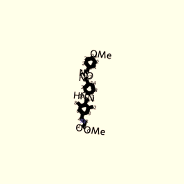 COC(=O)/C=C/c1cc(C)c(-c2nc3ccc(-c4nnc(-c5ccc(OC)cc5)o4)cc3[nH]2)c(C)c1